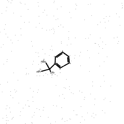 CCCCC(CCC)(CCC)c1[c]cccc1